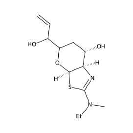 C=CC(O)C1C[C@H](O)[C@H]2N=C(N(C)CC)S[C@H]2O1